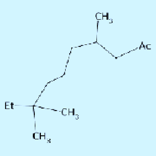 CCC(C)(C)CCCC(C)CC(C)=O